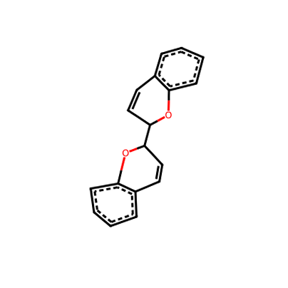 C1=CC(C2C=Cc3ccccc3O2)Oc2ccccc21